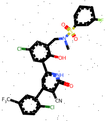 CN(Cc1cc(Cl)cc(-c2cc(-c3cc(C(F)(F)F)ccc3Cl)c(C#N)c(=O)[nH]2)c1O)S(=O)(=O)c1cccc(F)c1